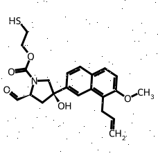 C=CCc1c(OC)ccc2ccc([C@]3(O)C[C@@H](C=O)N(C(=O)OCCS)C3)cc12